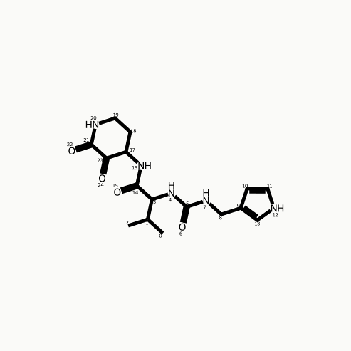 CC(C)C(NC(=O)NCc1cc[nH]c1)C(=O)NC1CCNC(=O)C1=O